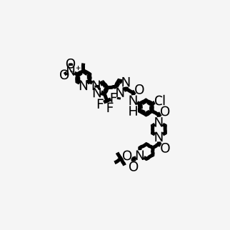 Cc1cc(-n2cc(-c3cnc(C(=O)Nc4ccc(C(=O)N5CCN(C(=O)C6CCN(C(=O)OC(C)(C)C)CC6)CC5)c(Cl)c4)n3C)c(C(F)(F)F)n2)ncc1[N+](=O)[O-]